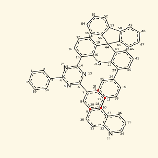 c1ccc(-c2nc(-c3ccccc3)nc(-c3cccc4c3Sc3c(-c5ccc(-c6cccc7ncccc67)cc5)cccc3C43c4ccccc4-c4ccccc43)n2)cc1